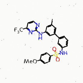 COc1ccc(S(=O)(=O)Nc2cccc(-c3cc(C)cc(Nc4nccc(C(F)(F)F)n4)c3)c2)cc1